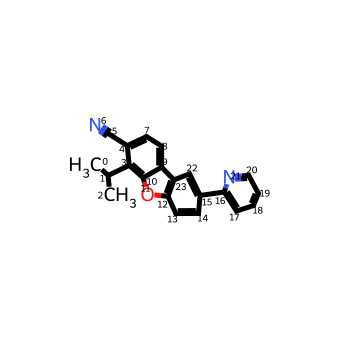 CC(C)c1c(C#N)ccc2c1oc1ccc(-c3ccccn3)cc12